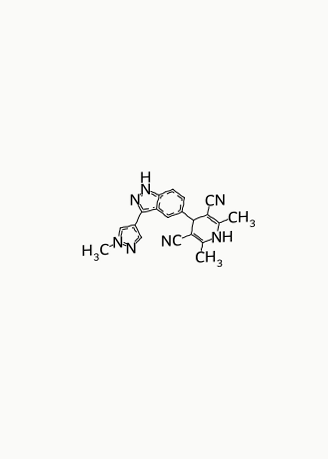 CC1=C(C#N)C(c2ccc3[nH]nc(-c4cnn(C)c4)c3c2)C(C#N)=C(C)N1